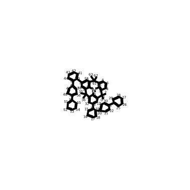 CC1(C)c2cccc3c2N2c4c1cc(-c1ccccc1-c1ccc(-c5ccccc5)cc1)cc4C(C)(C)c1cc(-c4ccccc4-c4ccc(-c5ccccc5)cc4)cc(c12)C3(C)C